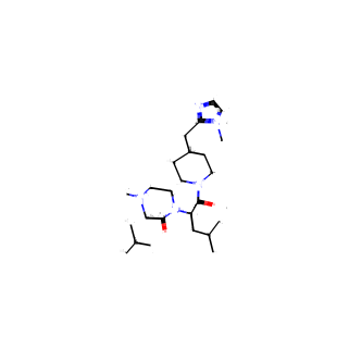 CC(C)CC(C(=O)N1CCC(Cc2nccn2C)CC1)N1CCN(C)[C@@H](CC(C)C)C1=O